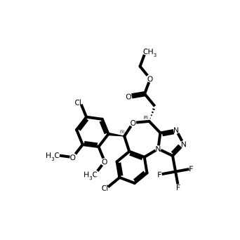 CCOC(=O)C[C@H]1O[C@H](c2cc(Cl)cc(OC)c2OC)c2cc(Cl)ccc2-n2c1nnc2C(F)(F)F